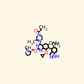 C=CC(=O)N1CCN(c2nc(OC[C@@H]3CCCN3C)nc3c(OC4CC4)c(-c4c(C)ccc5[nH]ncc45)c(OC)cc23)[C@@H](C)C1